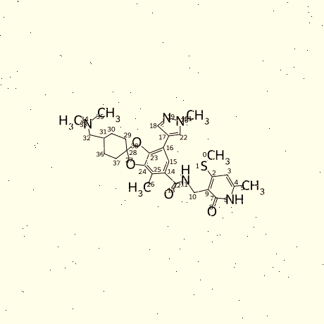 CSc1cc(C)[nH]c(=O)c1CNC(=O)c1cc(-c2cnn(C)c2)c2c(c1C)OC1(CCC(CN(C)C)CC1)O2